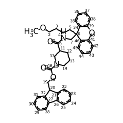 COCCCCC1(CNC(=O)C2CCCN(C(=O)OCC3c4ccccc4-c4ccccc43)C2)c2ccccc2Oc2ccccc21